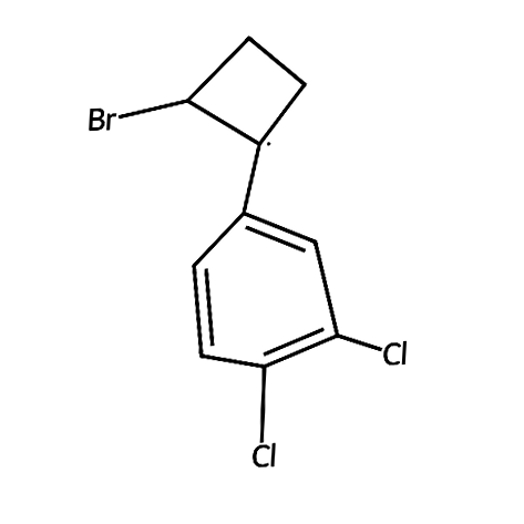 Clc1ccc([C]2CCC2Br)cc1Cl